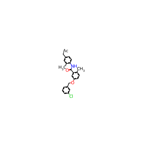 CC(=O)Cc1ccc(NC(=O)c2cc(OCc3cccc(Cl)c3)ccc2C)c(C)c1